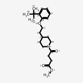 COC(=O)CCC(=O)N1CCC(CCOc2ccccc2C(C)(C)C)CC1